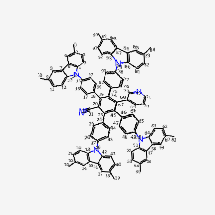 Cc1ccc2c(c1)c1cc(C)ccc1n2-c1ccc(-c2c(C#N)c(-c3ccc(-n4c5ccc(C)cc5c5cc(C)ccc54)cc3)c(-c3ccc(-n4c5ccc(C)cc5c5cc(C)ccc54)cc3)c(-c3cccnc3)c2-c2ccc(-n3c4ccc(C)cc4c4cc(C)ccc43)cc2)cc1